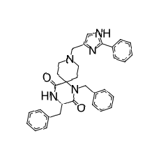 O=C1C(Cc2ccccc2)NC(=O)C2(CCN(Cc3c[nH]c(-c4ccccc4)n3)CC2)N1Cc1ccccc1